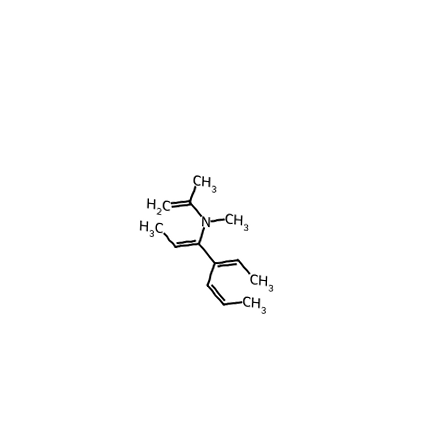 C=C(C)N(C)C(=C\C)/C(/C=C\C)=C/C